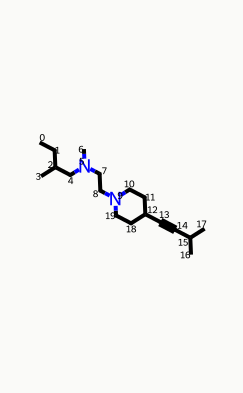 CCC(C)CN(C)CCN1CCC(C#CC(C)C)CC1